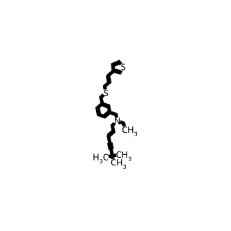 CCN(CC=CC#CC(C)(C)C)Cc1cccc(CSCC=Cc2ccsc2)c1